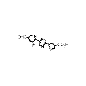 O=Cc1cnc(-c2cnc(-n3cc(C(=O)O)cn3)nc2)c(F)c1